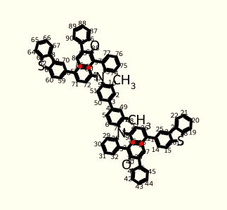 Cc1cc(-c2ccc(N(c3ccc(-c4ccc5sc6ccccc6c5c4)cc3)c3ccccc3-c3cccc4c3oc3ccccc34)c(C)c2)ccc1N(c1ccc(-c2ccc3sc4ccccc4c3c2)cc1)c1ccccc1-c1cccc2c1oc1ccccc12